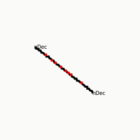 [CH2]CCCCCCCCCCCCCCCCCCCCCCCCCCCCCCCCCCCCCCCCCCCCCCCCCCCCCCCCCCCCCCCC